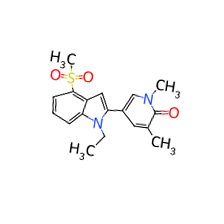 CCn1c(-c2cc(C)c(=O)n(C)c2)cc2c(S(C)(=O)=O)cccc21